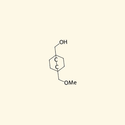 COCC12CCC(CO)(CC1)CC2